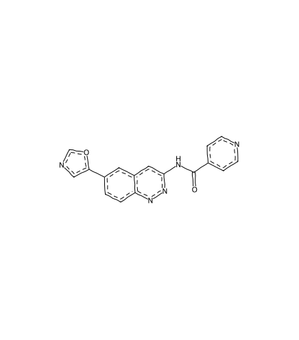 O=C(Nc1cc2cc(-c3cnco3)ccc2nn1)c1ccncc1